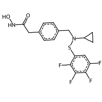 O=C(Cc1ccc(CN(Sc2cc(F)c(F)c(F)c2F)C2CC2)cc1)NO